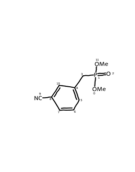 COP(=O)(Cc1cccc(C#N)c1)OC